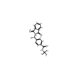 C[C@H](c1ccc(C(=O)OC(C)(C)C)cc1)N1C(=O)c2ccccc2C1=O